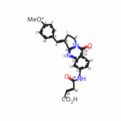 COc1ccc(C=C2CCn3c2nc2cc(NC(=O)C=CC(=O)O)ccc2c3=O)cc1